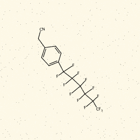 N#CCc1ccc(C(F)(F)C(F)(F)C(F)(F)C(F)(F)C(F)(F)C(F)(F)F)cc1